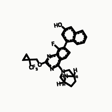 Oc1cc(-c2ccc3c(N4C[C@H]5CC[C@@H](C4)N5)nc(OCC4(C(F)(F)F)CC4)nc3c2F)c2ccccc2c1